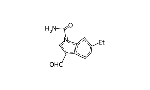 CCc1ccc2c(C=O)cn(C(N)=O)c2c1